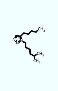 CCCCCc1cnnn1CCCCC(C)C